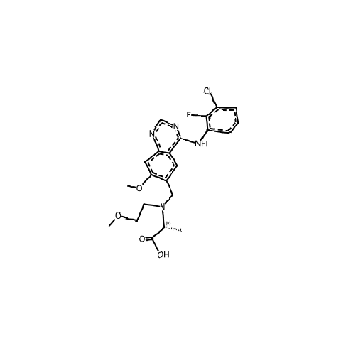 COCCN(Cc1cc2c(Nc3cccc(Cl)c3F)ncnc2cc1OC)[C@H](C)C(=O)O